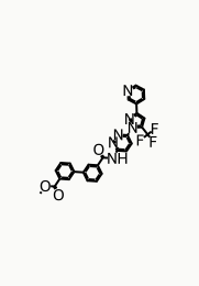 COC(=O)c1cccc(-c2cccc(C(=O)Nc3ccc(-n4nc(-c5cccnc5)cc4C(F)(F)F)nn3)c2)c1